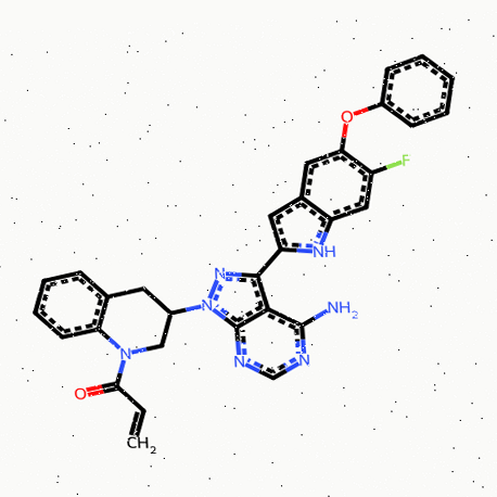 C=CC(=O)N1CC(n2nc(-c3cc4cc(Oc5ccccc5)c(F)cc4[nH]3)c3c(N)ncnc32)Cc2ccccc21